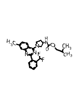 Cc1ccc2c(N3CC[C@@H](NC(=O)OCC(C)C)C3)nc(-c3ccccc3C(F)F)nc2c1